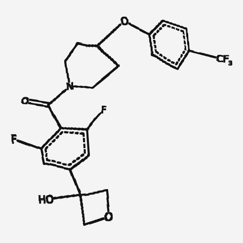 O=C(c1c(F)cc(C2(O)COC2)cc1F)N1CCC(Oc2ccc(C(F)(F)F)cc2)CC1